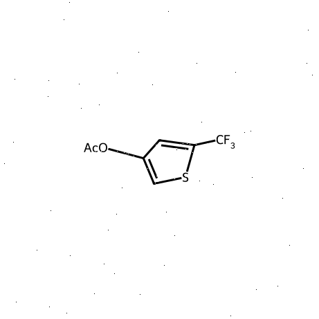 CC(=O)Oc1csc(C(F)(F)F)c1